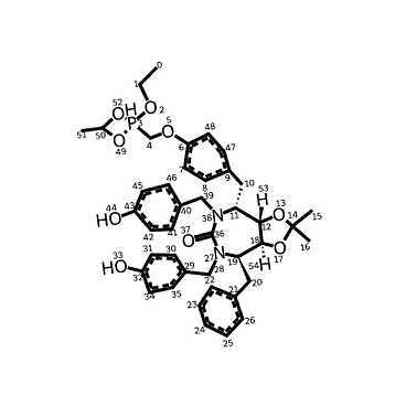 CCO[PH]1(COc2ccc(C[C@@H]3[C@@H]4OC(C)(C)O[C@H]4[C@@H](Cc4ccccc4)N(Cc4ccc(O)cc4)C(=O)N3Cc3ccc(O)cc3)cc2)OC(C)O1